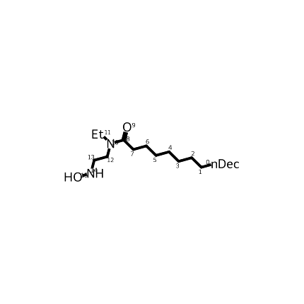 CCCCCCCCCCCCCCCCCC(=O)N(CC)CCNO